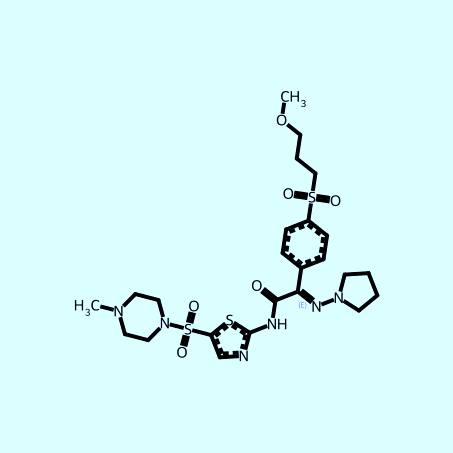 COCCCS(=O)(=O)c1ccc(/C(=N\N2CCCC2)C(=O)Nc2ncc(S(=O)(=O)N3CCN(C)CC3)s2)cc1